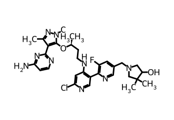 Cc1nn(C)c(O[C@@H](C)CCNc2cc(Cl)ncc2-c2ncc(CN3CC(O)C(C)(C)C3)cc2F)c1-c1nccc(N)n1